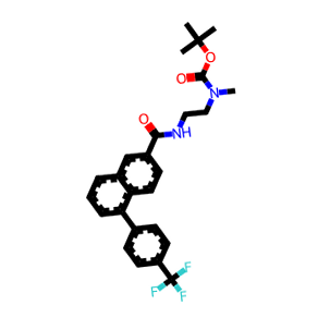 CN(CCNC(=O)c1ccc2c(-c3ccc(C(F)(F)F)cc3)cccc2c1)C(=O)OC(C)(C)C